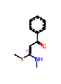 CN/C(=C\C(=O)c1ccccc1)SC